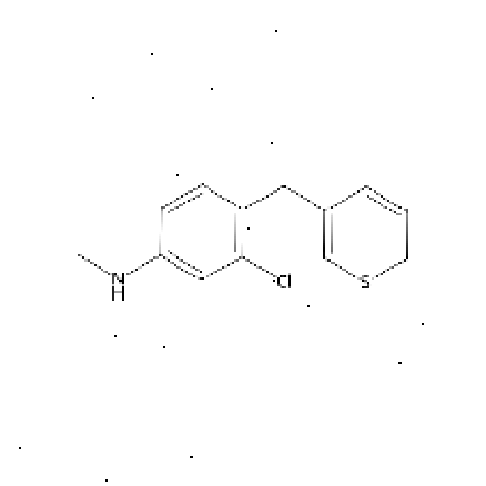 CNc1ccc(CC2=CSCC=C2)c(Cl)c1